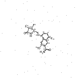 COc1cc2c(OC[C@H]3NC(=O)C(F)[C@H]3C)ccc(F)c2cc1C(N)=O